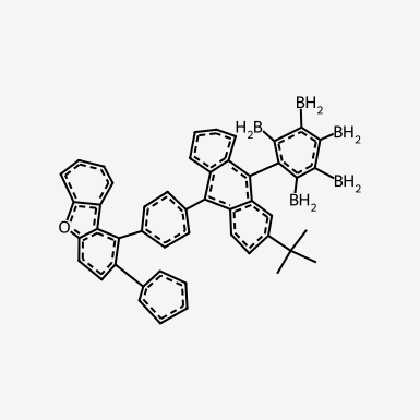 Bc1c(B)c(B)c(-c2c3ccccc3c(-c3ccc(-c4c(-c5ccccc5)ccc5oc6ccccc6c45)cc3)c3ccc(C(C)(C)C)cc23)c(B)c1B